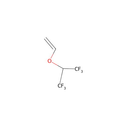 C=COC(C(F)(F)F)C(F)(F)F